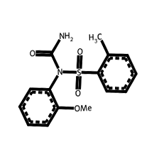 COc1ccccc1N(C(N)=O)S(=O)(=O)c1ccccc1C